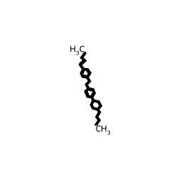 CCC/C=C/c1ccc(CCc2ccc(C3CCC(CCCCC)CC3)cc2)cc1